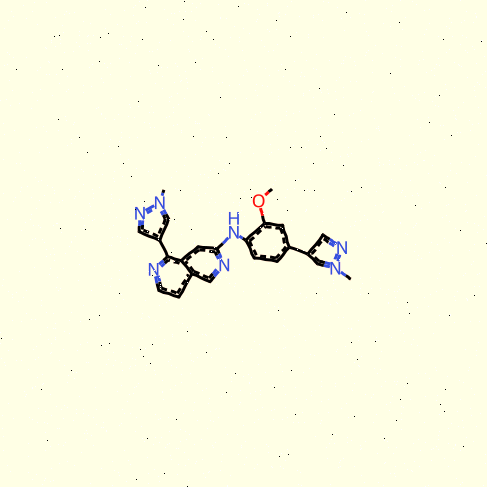 COc1cc(-c2cnn(C)c2)ccc1Nc1cc2c(-c3cnn(C)c3)nccc2cn1